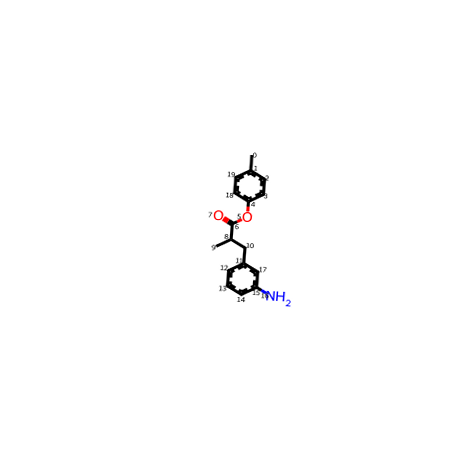 Cc1ccc(OC(=O)C(C)Cc2cccc(N)c2)cc1